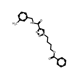 Cc1cccc(CNC(=O)c2cn(CCCCOC(=O)c3ccccc3)nn2)c1